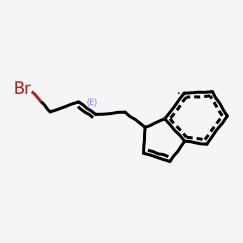 BrC/C=C/CC1C=Cc2ccc[c]c21